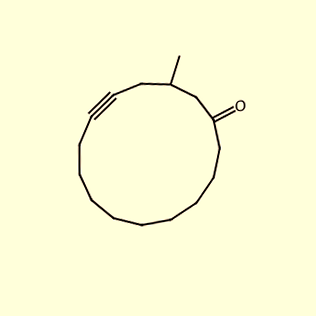 CC1CC#CCCCCCCCCCC(=O)C1